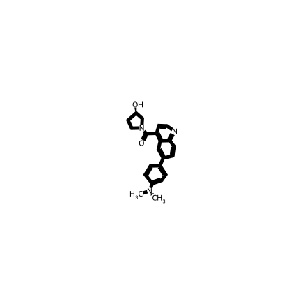 CN(C)c1ccc(-c2ccc3nccc(C(=O)N4CC[C@@H](O)C4)c3c2)cc1